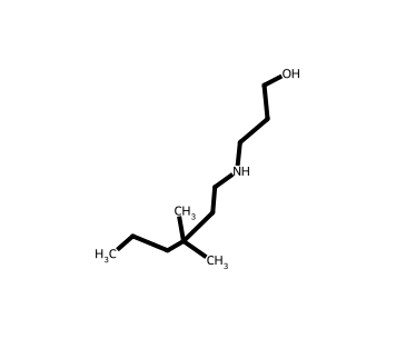 CCCC(C)(C)CCNCCCO